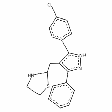 Clc1ccc(-c2[nH]nc(-c3ccccc3)c2CC2NCCS2)cc1